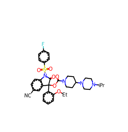 CCOc1ccccc1C1(OC(=O)N2CCC(N3CCN(C(C)C)CC3)CC2)C(=O)N(S(=O)(=O)c2ccc(F)cc2)c2ccc(C#N)cc21